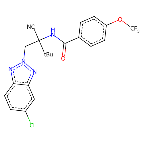 CC(C)(C)C(C#N)(Cn1nc2ccc(Cl)cc2n1)NC(=O)c1ccc(OC(F)(F)F)cc1